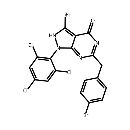 CC(C)c1[nH]n(-c2c(Cl)cc(Cl)cc2Cl)c2nc(Cc3ccc(Br)cc3)nc(=O)c1-2